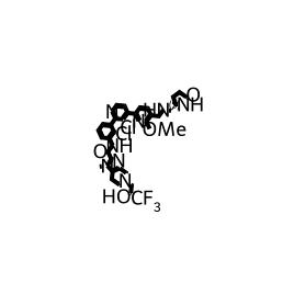 COc1nc(-c2ccnc(-c3cccc(NC(=O)c4nc5c(n4C)CCN(CC(O)C(F)(F)F)C5)c3Cl)c2Cl)ccc1CNC[C@@H]1CCC(=O)N1